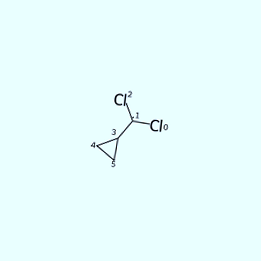 Cl[C](Cl)C1CC1